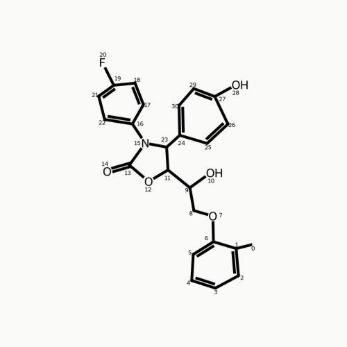 Cc1ccccc1OCC(O)C1OC(=O)N(c2ccc(F)cc2)C1c1ccc(O)cc1